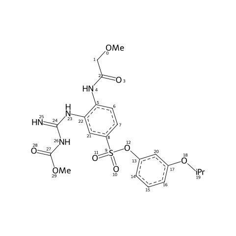 COCC(=O)Nc1ccc(S(=O)(=O)Oc2cccc(OC(C)C)c2)cc1NC(=N)NC(=O)OC